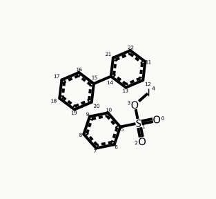 O=S(=O)(OI)c1ccccc1.c1ccc(-c2ccccc2)cc1